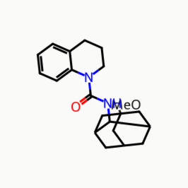 COC12CC3CC(C1)C(NC(=O)N1CCCc4ccccc41)C(C3)C2